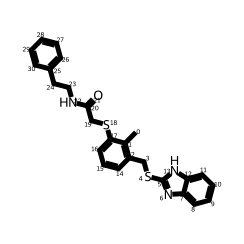 Cc1c(CSc2nc3ccccc3[nH]2)cccc1SCC(=O)NCCc1ccccc1